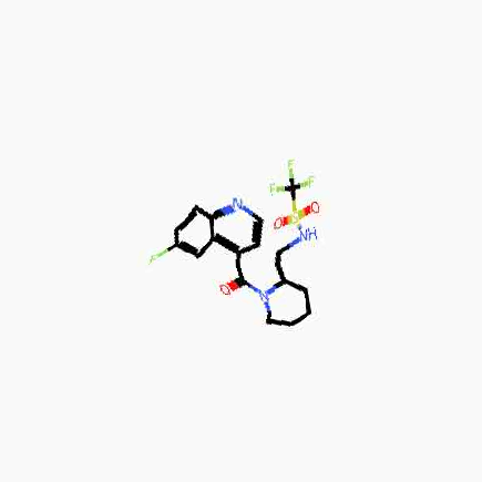 O=C(c1ccnc2ccc(F)cc12)N1CCCCC1CNS(=O)(=O)C(F)(F)F